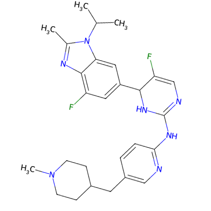 Cc1nc2c(F)cc(C3NC(Nc4ccc(CC5CCN(C)CC5)cn4)=NC=C3F)cc2n1C(C)C